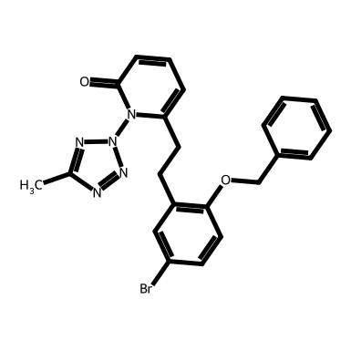 Cc1nnn(-n2c(CCc3cc(Br)ccc3OCc3ccccc3)cccc2=O)n1